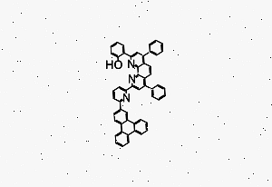 Oc1ccccc1-c1cc(-c2ccccc2)c2ccc3c(-c4ccccc4)cc(-c4cccc(-c5ccc6c7ccccc7c7ccccc7c6c5)n4)nc3c2n1